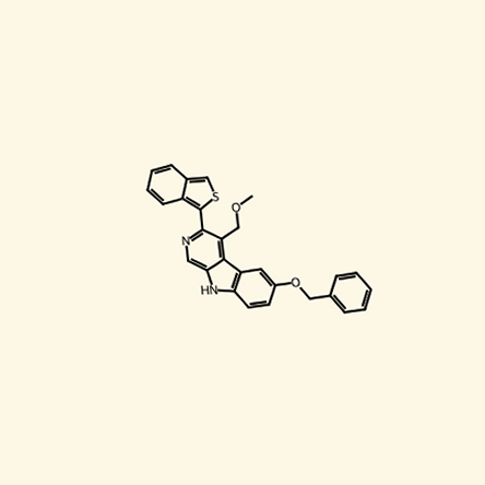 COCc1c(-c2scc3ccccc23)ncc2[nH]c3ccc(OCc4ccccc4)cc3c12